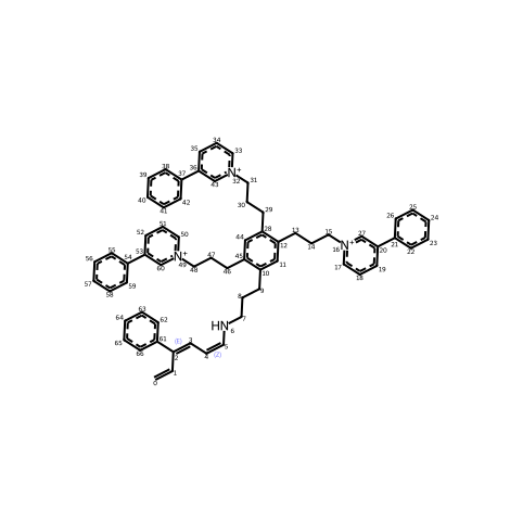 C=C/C(=C\C=C/NCCCc1cc(CCC[n+]2cccc(-c3ccccc3)c2)c(CCC[n+]2cccc(-c3ccccc3)c2)cc1CCC[n+]1cccc(-c2ccccc2)c1)c1ccccc1